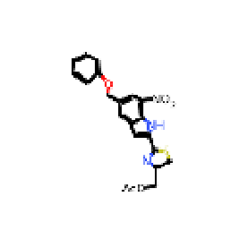 CC(=O)OC[C@@H]1CSC(c2cc3cc(COc4ccccc4)cc([N+](=O)[O-])c3[nH]2)=N1